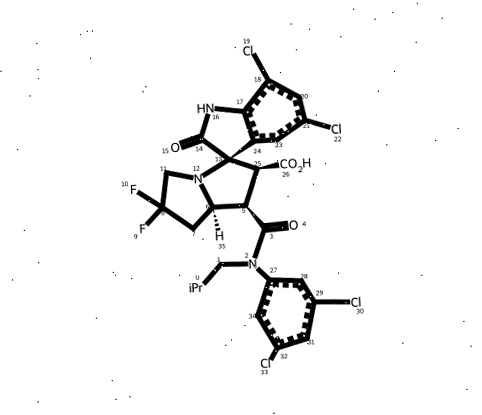 CC(C)CN(C(=O)[C@H]1[C@H]2CC(F)(F)CN2[C@]2(C(=O)Nc3c(Cl)cc(Cl)cc32)[C@H]1C(=O)O)c1cc(Cl)cc(Cl)c1